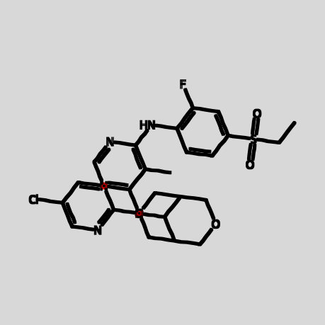 CCS(=O)(=O)c1ccc(Nc2ncnc(OC3C4COCC3CN(c3ncc(Cl)cn3)C4)c2C)c(F)c1